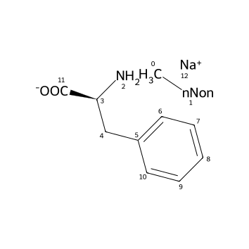 CCCCCCCCCC.N[C@@H](Cc1ccccc1)C(=O)[O-].[Na+]